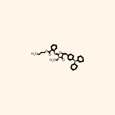 CCCCOC(=O)c1ccccc1N=C1O/C(=C/c2ccc(N(c3ccccc3)c3ccccc3)cc2)C(=O)N1CC